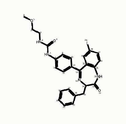 COCCNC(=O)Nc1ccc(C2=NC(Cc3ccccc3)C(=O)Nc3ccc(I)cc32)cc1